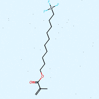 C=C(C)C(=O)OCCCCCCCCCC[Si](F)(F)F